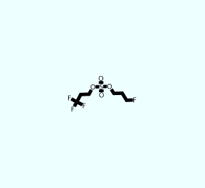 O=S(=O)(OCCCF)OCCC(F)(F)F